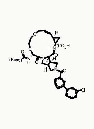 CC(C)(C)OC(=O)N[C@@H]1CCCCC/C=C\[C@H]2C[C@@]2(C(=O)O)NC(=O)[C@@H]2[C@H]3CN(C(=O)c4cccc(-c5cccc(Cl)c5)c4)C[C@H]3CN2C1=O